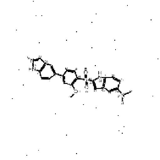 COc1cc(-c2ccc3[nH]ncc3c2)ccc1S(=O)(=O)c1cc2cc(N(C)C)ccc2[nH]1